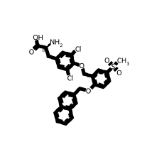 CS(=O)(=O)c1ccc(OCc2ccc3ccccc3c2)c(COc2c(Cl)cc(C[C@H](N)C(=O)O)cc2Cl)c1